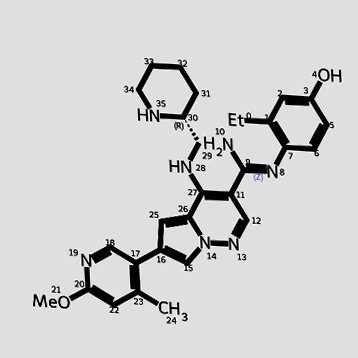 CCc1cc(O)ccc1/N=C(\N)c1cnn2cc(-c3cnc(OC)cc3C)cc2c1NC[C@H]1CCCCN1